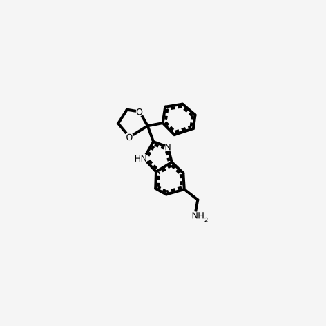 NCc1ccc2[nH]c(C3(c4ccccc4)OCCO3)nc2c1